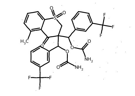 Cc1cccc2c1C(=O)C(C(OC(N)=O)c1cccc(C(F)(F)F)c1)(C(OC(N)=O)c1cccc(C(F)(F)F)c1)CS2(=O)=O